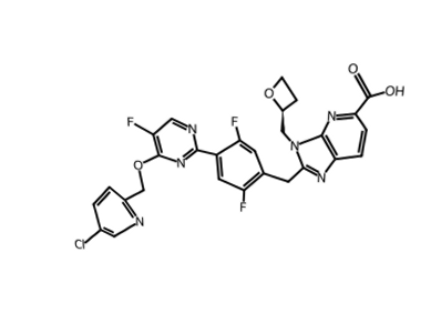 O=C(O)c1ccc2nc(Cc3cc(F)c(-c4ncc(F)c(OCc5ccc(Cl)cn5)n4)cc3F)n(C[C@@H]3CCO3)c2n1